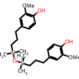 COc1cc(CCC[Si](C)(C)O[Si](C)(C)CCCc2ccc(O)c(OC)c2)ccc1O